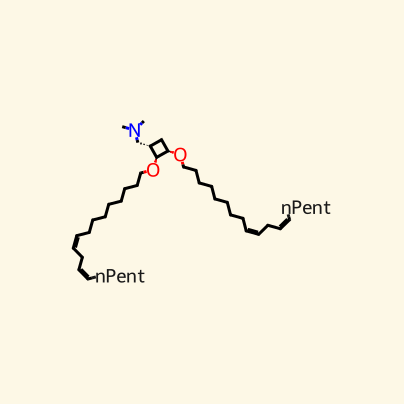 CCCCC/C=C\C/C=C\CCCCCCCCO[C@H]1[C@H](CN(C)C)C[C@H]1OCCCCCCCC/C=C\C/C=C\CCCCC